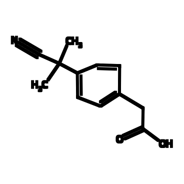 CC(C)(C#N)c1ccc(CC(=O)O)cc1